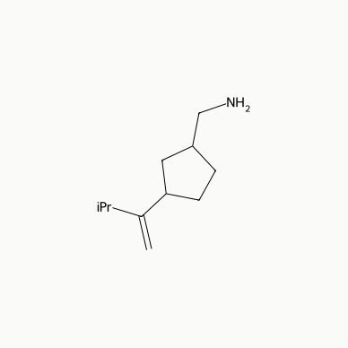 C=C(C(C)C)C1CCC(CN)C1